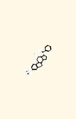 C[C@]12CC[C@@H]3c4ccc(OS(=O)(=O)F)cc4CC[C@H]3[C@@H]1CC[C@@H]2C(=O)c1ccccc1